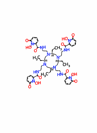 CC[C@H]1CN(CCNC(=O)c2cccc(=O)n2O)[C@@H](CC)CN(CCNC(=O)c2cccc(=O)n2O)[C@@H](CC)CN(CCNC(=O)c2cccc(=O)n2O)[C@@H](CC)CN1CCNC(=O)c1cccc(=O)n1O